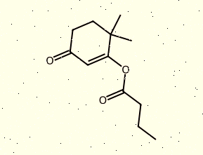 CCCC(=O)OC1=CC(=O)CCC1(C)C